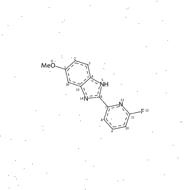 COc1ccc2[nH]c(-c3cccc(F)n3)nc2c1